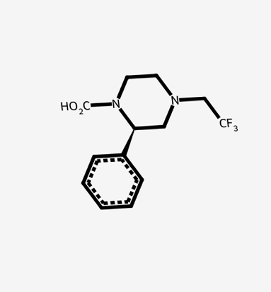 O=C(O)N1CCN(CC(F)(F)F)C[C@H]1c1ccccc1